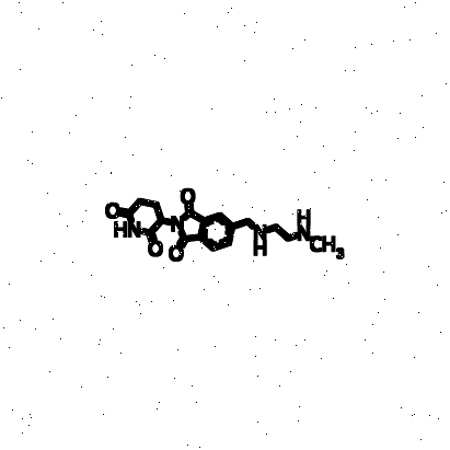 CNCCNCc1ccc2c(c1)C(=O)N(C1CCC(=O)NC1=O)C2=O